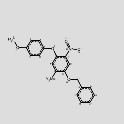 COc1ccc(Oc2cc(N)c(OCc3ccccc3)cc2[N+](=O)[O-])cc1